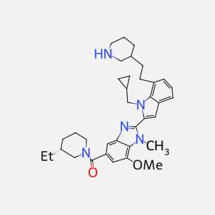 CC[C@@H]1CCCN(C(=O)c2cc(OC)c3c(c2)nc(-c2cc4cccc(CCC5CCCNC5)c4n2CC2CC2)n3C)C1